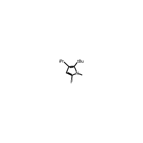 CC(C)c1cc(F)n(C)c1C(C)(C)C